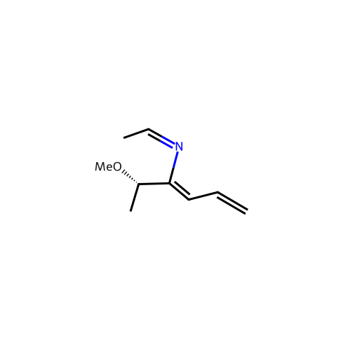 C=C/C=C(\N=C/C)[C@H](C)OC